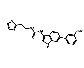 COc1cccc(-c2ccc3c(NC(=O)NCCc4cccs4)n[nH]c3c2)c1